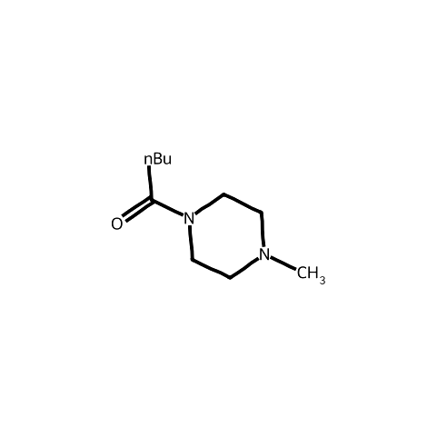 CCCCC(=O)N1CCN(C)CC1